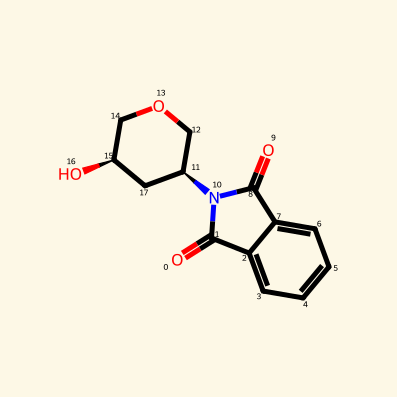 O=C1c2ccccc2C(=O)N1[C@@H]1COC[C@H](O)C1